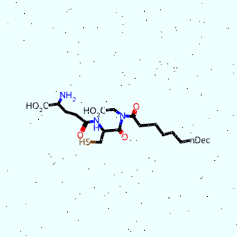 CCCCCCCCCCCCCCCC(=O)N(CC(=O)O)C(=O)C(CS)NC(=O)CCC(N)C(=O)O